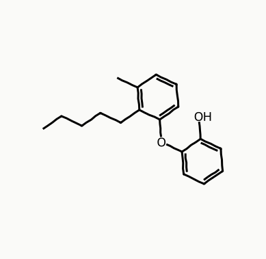 CCCCCc1c(C)cccc1Oc1ccccc1O